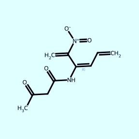 C=C/C=C(/NC(=O)CC(C)=O)C(=C)[N+](=O)[O-]